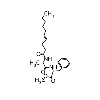 CCCCCC=CCCC(=O)N[C@@H](C)C(=O)N[C@@H](Cc1ccccc1)C(=O)OC